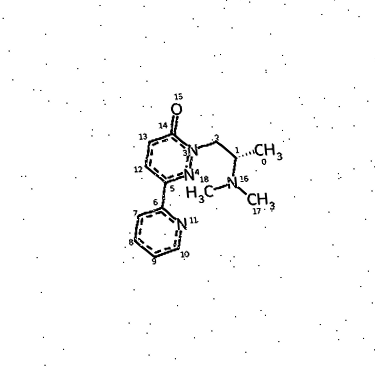 C[C@@H](Cn1nc(-c2ccccn2)ccc1=O)N(C)C